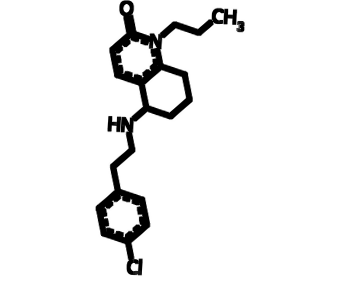 CCCn1c2c(ccc1=O)C(NCCc1ccc(Cl)cc1)CCC2